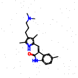 Cc1ccc2c(c1)C(=Cc1[nH]c(C)c(CCCN(C)C)c1C)C(=O)N2